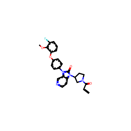 C=CC(=O)N1CCC(n2c(=O)n(-c3ccc(Oc4cccc(F)c4OC)cc3)c3cnccc32)C1